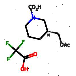 CC(=O)OC[C@@H]1CCCN(C(=O)O)C1.O=C(O)C(F)(F)F